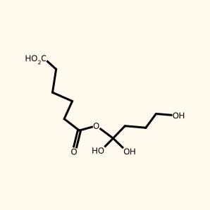 O=C(O)CCCCC(=O)OC(O)(O)CCCO